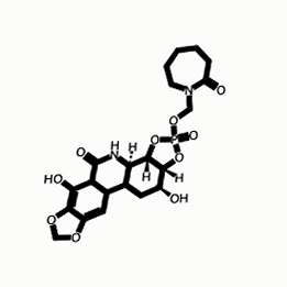 O=C1N[C@@H]2C(C[C@H](O)[C@H]3OP(=O)(OCN4CCCCCC4=O)O[C@H]32)C2C=C3OCOC3=C(O)C12